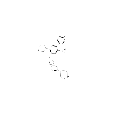 CC1(C(=O)O)CCN(C2=NOC3(C2)CN(Cc2cc(C4CC4)c(-c4ccc(F)cc4)cc2C2CCOCC2)C3)CC1